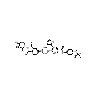 O=C1CCC(N2C(=O)c3ccc(N4CCN(c5ncc(C(=O)Nc6ccc(OC(F)(F)Cl)cc6)cc5-c5ccn[nH]5)CC4)cc3C2=O)C(=O)N1